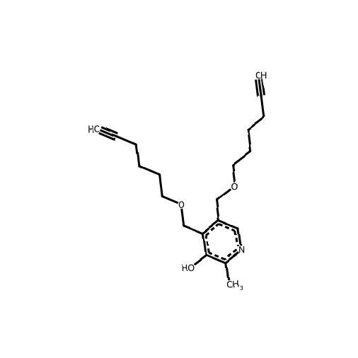 C#CCCCCOCc1cnc(C)c(O)c1COCCCCC#C